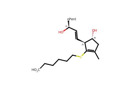 CCCCC[C@H](O)C=C[C@@H]1C(SCCCCCC(=O)O)=C(C)C[C@H]1O